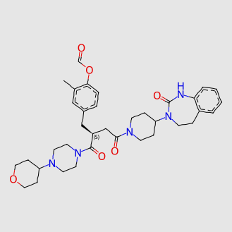 Cc1cc(C[C@@H](CC(=O)N2CCC(N3CCc4ccccc4NC3=O)CC2)C(=O)N2CCN(C3CCOCC3)CC2)ccc1OC=O